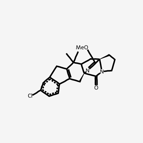 COC1=N[C@@]23CC4=C(Cc5cc(Cl)ccc54)C(C)(C)C2C[C@@]12CCCN2C3=O